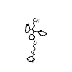 OCC/C(=C(\c1ccccc1)c1cccc(OCCOCc2ccccc2)c1)c1ccccc1